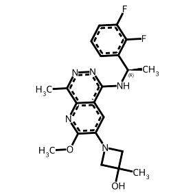 COc1nc2c(C)nnc(N[C@H](C)c3cccc(F)c3F)c2cc1N1CC(C)(O)C1